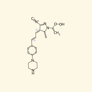 [C-]#[N+]C1=NN(C(=C)OO)C(=S)/C1=C\C=C\c1ccc(N2CCNCC2)cc1